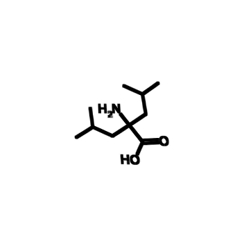 CC(C)CC(N)(CC(C)C)C(=O)O